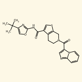 CC(C)(C)c1coc(NC(=O)c2csc3c2CCN(C(=O)c2cnc4ccccn24)C3)n1